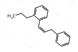 CCCc1ccccc1/C=C\Cc1ccccc1